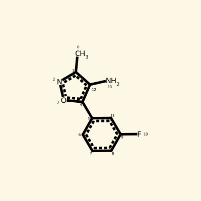 Cc1noc(-c2cccc(F)c2)c1N